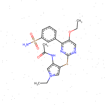 CCOc1cnc(Sc2cn(CC)cc2NC(C)=O)nc1-c1cccc(S(N)(=O)=O)c1